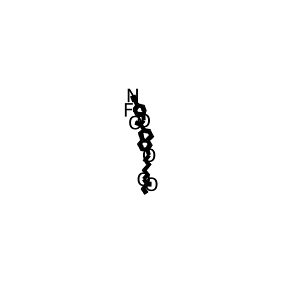 C=CC(=O)OCCCCOc1ccc2cc(C(=O)Oc3ccc(C#N)c(F)c3)ccc2c1